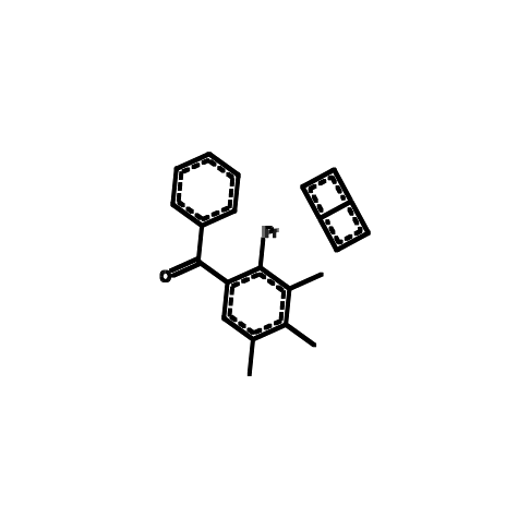 Cc1cc(C(=O)c2ccccc2)c(C(C)C)c(C)c1C.c1cc2ccc1-2